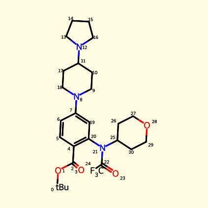 CC(C)(C)OC(=O)c1ccc(N2CCC(N3CCCC3)CC2)cc1N(C(=O)C(F)(F)F)C1CCOCC1